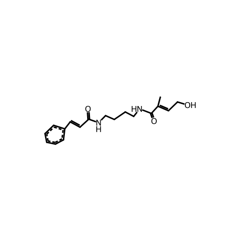 C/C(=C\CO)C(=O)NCCCCNC(=O)/C=C/c1ccccc1